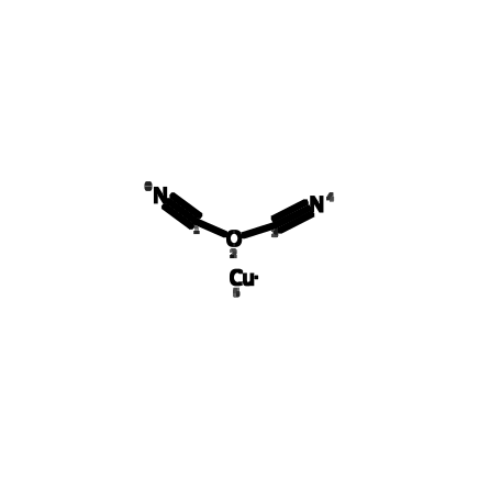 N#COC#N.[Cu]